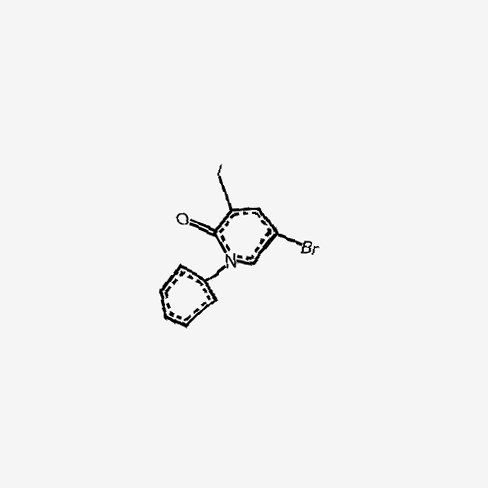 O=c1c(I)cc(Br)cn1-c1ccccc1